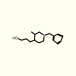 CC1CN(Cc2ccccc2)CCC1CCCO